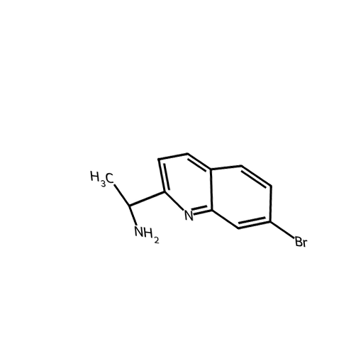 CC(N)c1ccc2ccc(Br)cc2n1